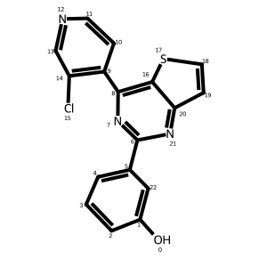 Oc1cccc(-c2nc(-c3ccncc3Cl)c3sccc3n2)c1